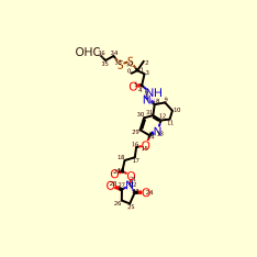 CC(C)(CC(=O)N/N=C1\CCCc2nc(OCCCC(=O)ON3C(=O)CCC3=O)ccc21)SSCCC=O